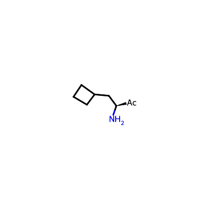 CC(=O)[C@@H](N)CC1CCC1